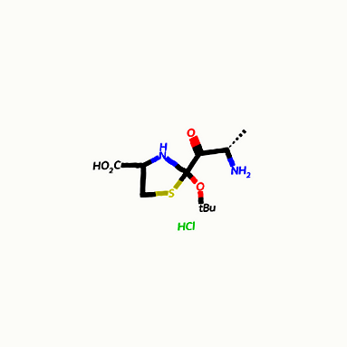 C[C@H](N)C(=O)C1(OC(C)(C)C)NC(C(=O)O)CS1.Cl